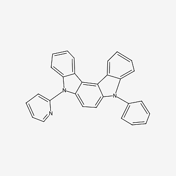 c1ccc(-n2c3ccccc3c3c4c5ccccc5n(-c5ccccn5)c4ccc32)cc1